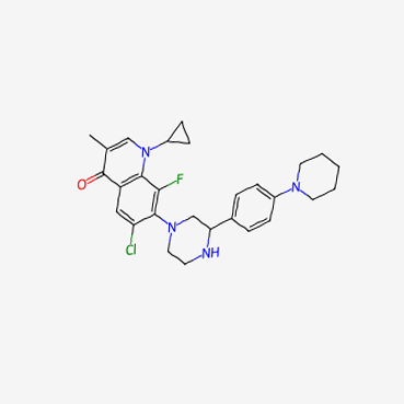 Cc1cn(C2CC2)c2c(F)c(N3CCNC(c4ccc(N5CCCCC5)cc4)C3)c(Cl)cc2c1=O